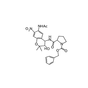 CC(=O)Nc1cc2c(cc1[N+](=O)[O-])OC(C)(C)C(O)C2NC(=O)C1CCCN1C(=O)OCc1ccccc1